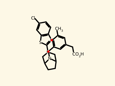 Cc1cc(CC(=O)O)cc(CN2C3CCC2CN(c2nc4ccc(Cl)cc4s2)C3)c1